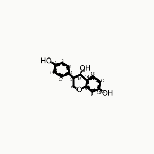 Oc1ccc(C2COc3cc(O)ccc3[C@@H]2O)cc1